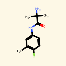 CC(C)(N)C(=O)Nc1ccc(F)c(C(F)(F)F)c1